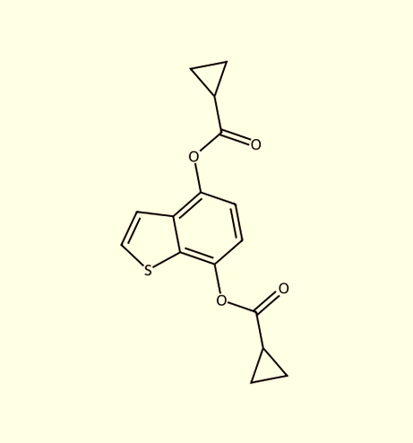 O=C(Oc1ccc(OC(=O)C2CC2)c2sccc12)C1CC1